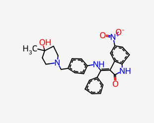 CC1(O)CCN(Cc2ccc(NC(=C3C(=O)Nc4ccc([N+](=O)[O-])cc43)c3ccccc3)cc2)CC1